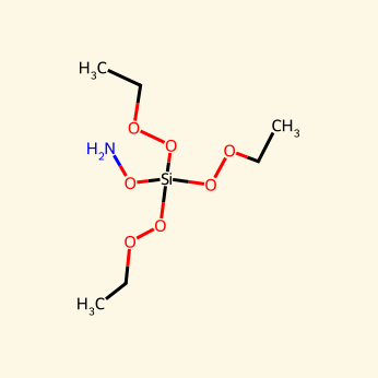 CCOO[Si](ON)(OOCC)OOCC